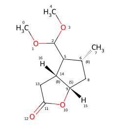 COC(OC)C1[C@H](C)C[C@@H]2OC(=O)C[C@H]12